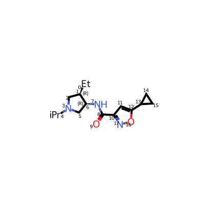 CC[C@@H]1CN(C(C)C)C[C@@H]1NC(=O)c1cc(C2CC2)on1